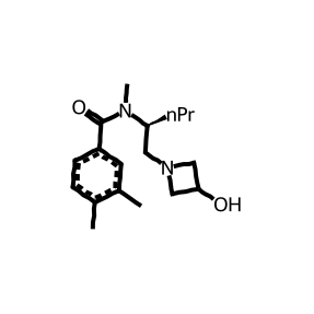 CCC[C@@H](CN1CC(O)C1)N(C)C(=O)c1ccc(C)c(C)c1